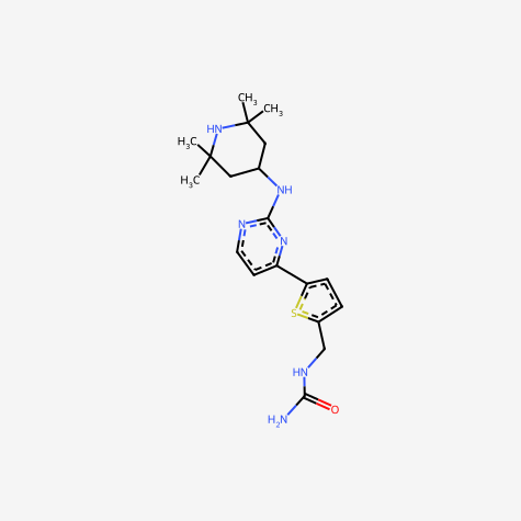 CC1(C)CC(Nc2nccc(-c3ccc(CNC(N)=O)s3)n2)CC(C)(C)N1